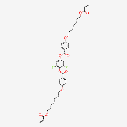 C=CC(=O)OCCCCCCCOc1ccc(C(=O)Oc2cc(F)c(OC(=O)c3ccc(OCCCCCCCOC(=O)C=C)cc3)c(F)c2)cc1